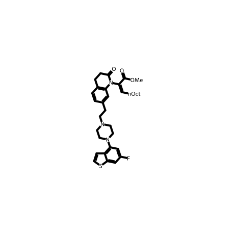 CCCCCCCCC=C(C(=O)OC)N1C(=O)CCc2ccc(CCN3CCN(c4cc(F)cc5sccc45)CC3)cc21